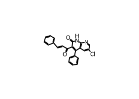 O=C(C=Cc1ccccc1)c1c(-c2ccccc2)c2cc(Cl)cnc2[nH]c1=O